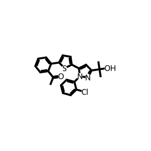 CC(=O)c1ccccc1-c1ccc(-c2cc(C(C)(C)O)nn2-c2ccccc2Cl)s1